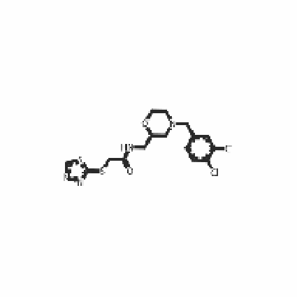 O=C(CSc1nncs1)NCC1CN(Cc2ccc(Cl)c(Cl)c2)CCO1